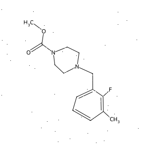 COC(=O)N1CCN(Cc2cccc(C)c2F)CC1